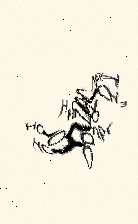 C#CCOc1cc([C@@H](CCC)NC(=O)C2(C)CSC(/C(C)=N/O)=N2)oc(=O)c1CC#C